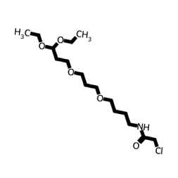 CCOC(CCOCCCOCCCCNC(=O)CCl)OCC